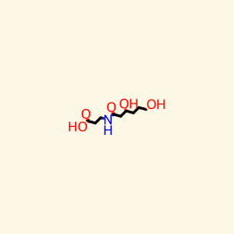 O=C(O)CCNC(=O)CC(O)CCCO